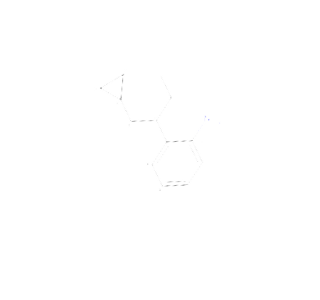 CCC(CC1CC1)c1ccccc1N